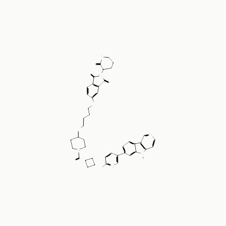 Cn1c2ccncc2c2ccc(-c3ccc(O[C@H]4C[C@@H](C(=O)N5CCC(OCCCCOc6ccc7c(c6)C(=O)N(C6CCCNC6=O)C7=O)CC5)C4)nc3)cc21